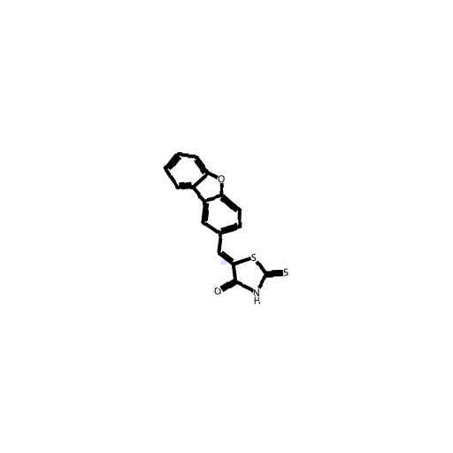 O=C1NC(=S)S/C1=C\c1ccc2oc3ccccc3c2c1